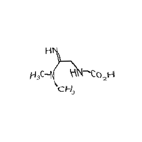 CN(C)C(=N)CNC(=O)O